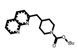 CC(C)(C)OC(=O)N1CCC(Cc2ccc3cccnc3n2)CC1